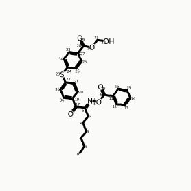 CCCCCC/C(=N\OC(=O)c1ccccc1)C(=O)c1ccc(Sc2ccc(C(=O)OCO)cc2)cc1